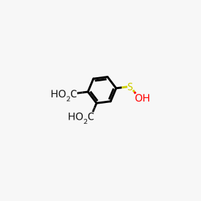 O=C(O)c1ccc(SO)cc1C(=O)O